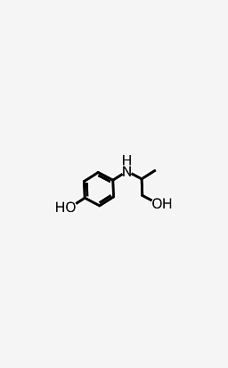 CC(CO)Nc1ccc(O)cc1